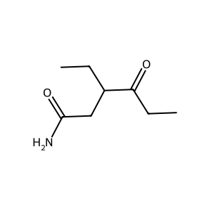 CCC(=O)C(CC)CC(N)=O